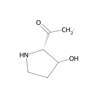 [CH2]C(=O)[C@H]1NCCC1O